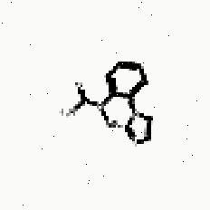 CCCCN(C(N)=O)c1ccccc1-n1ccnc1